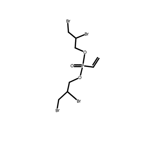 C=CP(=O)(OCC(Br)CBr)OCC(Br)CBr